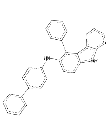 c1ccc(-c2ccc(Nc3ccc4[nH]c5ccccc5c4c3-c3ccccc3)cc2)cc1